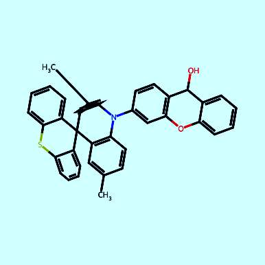 Cc1ccc2c(c1)C1(c3ccccc3Sc3ccccc31)c1cc(C)ccc1N2c1ccc2c(c1)Oc1ccccc1C2O